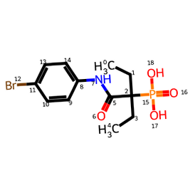 CCC(CC)(C(=O)Nc1ccc(Br)cc1)P(=O)(O)O